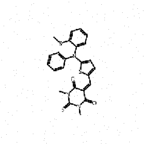 CSc1ccccc1N(c1ccccc1)c1ccc(C=C2C(=O)N(C)C(=S)N(C)C2=O)s1